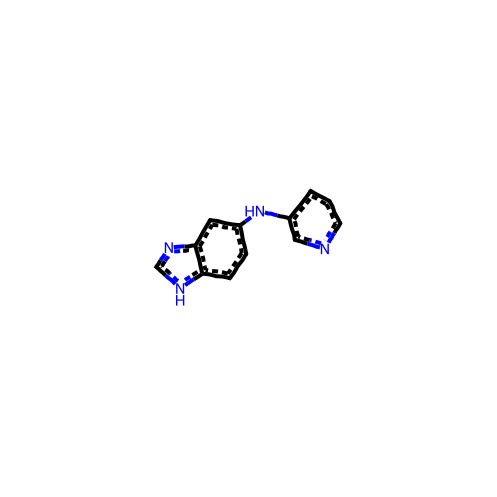 c1cncc(Nc2ccc3[nH]cnc3c2)c1